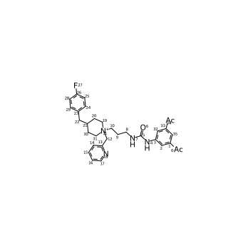 CC(=O)c1cc(NC(=O)NCCC[N+]2(Cc3ccccn3)CCC(Cc3ccc(F)cc3)CC2)cc(C(C)=O)c1